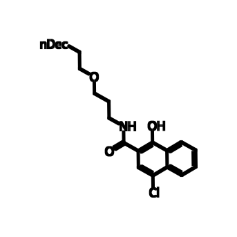 CCCCCCCCCCCCOCCCNC(=O)c1cc(Cl)c2ccccc2c1O